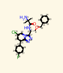 CC(C)(N)C(=O)N[C@H](COCc1ccccc1)c1nnc2c(-c3ccc(F)cc3)cc(Cl)cn12